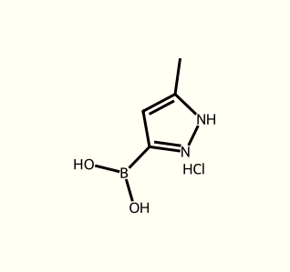 Cc1cc(B(O)O)n[nH]1.Cl